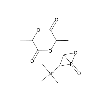 CC1OC(=O)C(C)OC1=O.C[N+](C)(C)C1C2OP21=O